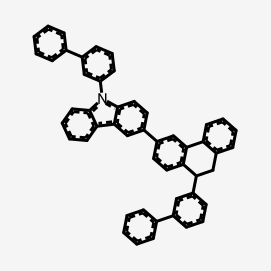 c1ccc(-c2cccc(C3Cc4ccccc4-c4cc(-c5ccc6c(c5)c5ccccc5n6-c5cccc(-c6ccccc6)c5)ccc43)c2)cc1